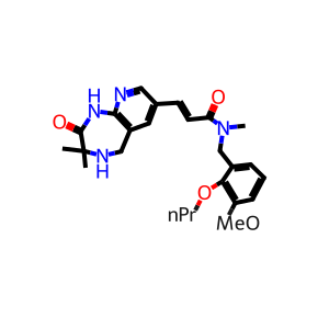 CCCOc1c(CN(C)C(=O)C=Cc2cnc3c(c2)CNC(C)(C)C(=O)N3)cccc1OC